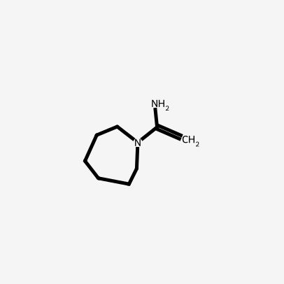 C=C(N)N1CCCCCC1